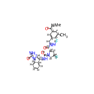 CNC(=O)c1cc(C)c(F)c(CNC(=O)[C@@H]2C[C@@H](F)CN2C(=O)Nc2cn(C(N)=O)c3ccccc23)c1